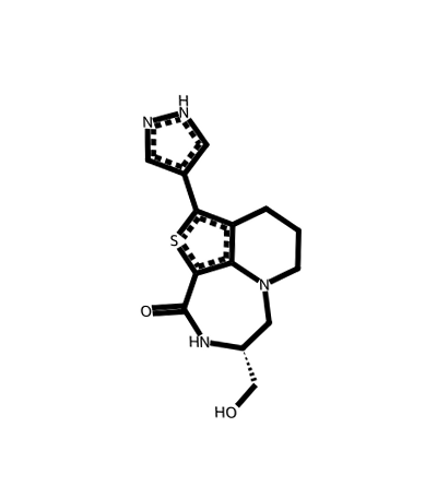 O=C1N[C@@H](CO)CN2CCCc3c(-c4cn[nH]c4)sc1c32